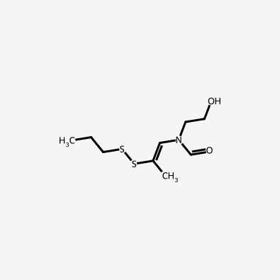 CCCSSC(C)=CN(C=O)CCO